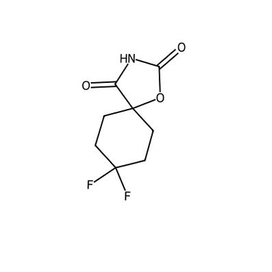 O=C1NC(=O)C2(CCC(F)(F)CC2)O1